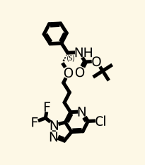 CC(C)(C)OC(=O)N[C@H](COCCCc1nc(Cl)cc2cnn(C(F)F)c12)c1ccccc1